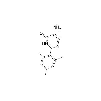 Cc1cc(C)c(-c2nnc(N)c(=O)[nH]2)c(C)c1